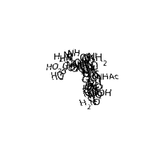 CC(=O)NCSC[C@H](NC(=O)CNC(=O)[C@H](CC(C)C)NC(=O)CNC(=O)[C@H](CO)NC(=O)[C@H](CCC(N)=O)NC(=O)[C@H](C)N)C(=O)N[C@@H](CC(N)=O)C(=O)N[C@@H](CO)C(=O)N[C@@H](Cc1ccccc1)C(=O)N[C@@H](CCCNC(=N)N)C(=O)N[C@@H](Cc1ccc(O)cc1)C(=O)O